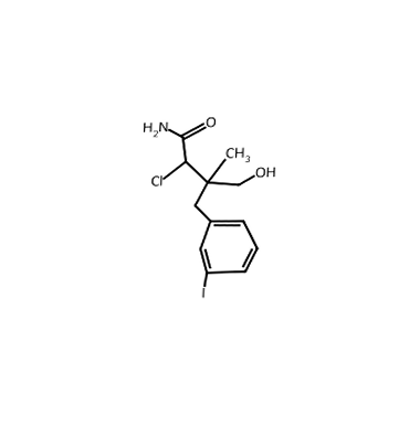 CC(CO)(Cc1cccc(I)c1)C(Cl)C(N)=O